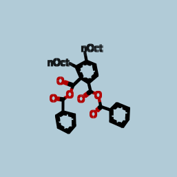 CCCCCCCCc1ccc(C(=O)OC(=O)c2ccccc2)c(C(=O)OC(=O)c2ccccc2)c1CCCCCCCC